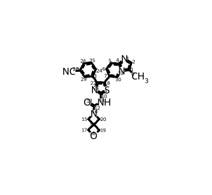 Cc1cnc2ccc(-c3sc(NC(=O)N4CC5(COC5)C4)nc3-c3cccc(C#N)c3)cn12